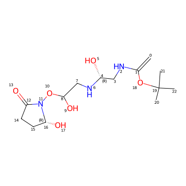 C=C(NC[C@@H](O)NCC(O)ON1C(=O)CC[C@H]1O)OC(C)(C)C